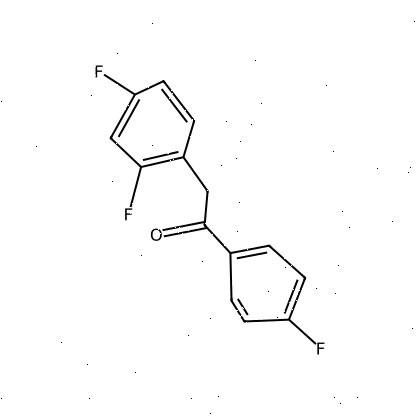 O=C(Cc1ccc(F)cc1F)c1ccc(F)cc1